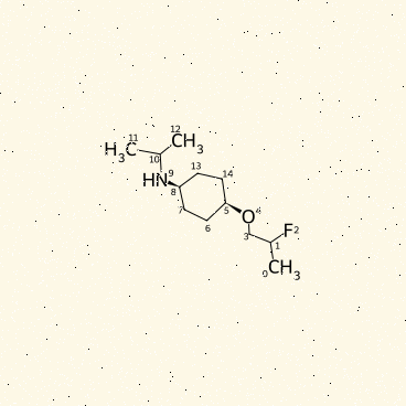 CC(F)CO[C@H]1CC[C@@H](NC(C)C)CC1